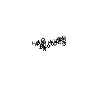 COC(=O)N[C@H](C(=O)N1[C@H](c2nc3ccc4cc5c(cc4c3[nH]2)OCc2cc(-c3cnc([C@H]4C[C@@H](C)[C@@H](C)N4C(=O)[C@@H](NC(=O)O)C4C[C@@H](C)O[C@H](C)C4)[nH]3)ccc2-5)C[C@H](C)[C@@H]1C)C1C[C@@H](C)O[C@H](C)C1